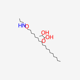 CC(O)C(=O)O.CCCCCCCCCCCCCCCCCCONCCC